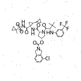 CC(C)(C)[C@H](Nc1cccc(C(F)(F)F)c1)C(=O)N1C[C@H](OC(=O)N2Cc3cccc(Cl)c3C2)C[C@H]1C(=O)N[C@]1(C(=O)NS(=O)(=O)C2(C)CC2)C[C@H]1C1CC1